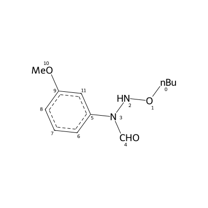 CCCCONN(C=O)c1cccc(OC)c1